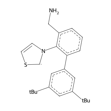 CC(C)(C)c1cc(-c2cccc(CN)c2N2[CH]SC=C2)cc(C(C)(C)C)c1